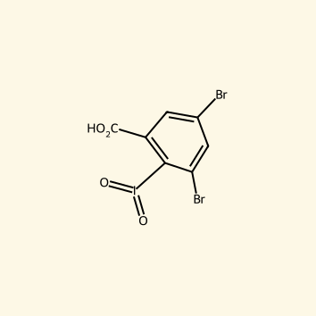 O=C(O)c1cc(Br)cc(Br)c1I(=O)=O